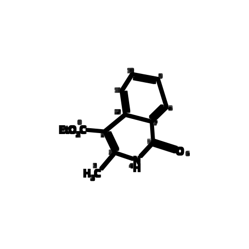 CCOC(=O)c1c(C)[nH]c(=O)c2ccccc12